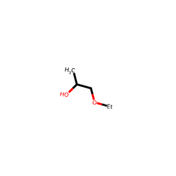 [CH2]COCC(C)O